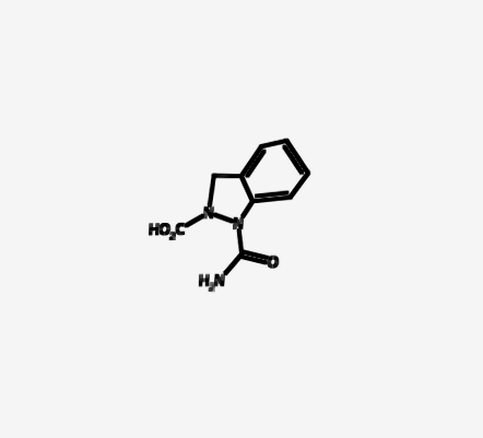 NC(=O)N1c2ccccc2CN1C(=O)O